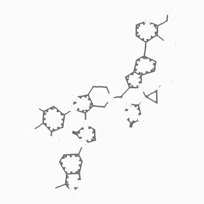 CCc1nccc(-c2ccc3c(c2)cc(C(=O)N2CCc4nn(-c5cc(C)c(F)c(C)c5)c(-n5ccn(-c6ccc7c(C)nsc7c6)c5=O)c4C2)n3[C@@]2(c3noc(=O)[nH]3)C[C@@H]2C)c1C